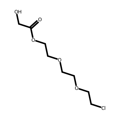 O=C(CO)OCCOCCOCCCl